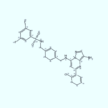 Bc1cnn2c(NCC3=CC=C(CNS(=O)(=O)c4cc(F)cc(F)c4)CC3)cc(C3=C(Cl)CCC=C3)nc12